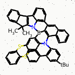 CC(C)(C)c1ccc(N2c3cc4c(cc3B3c5c(cc6ccccc6c52)-c2cccc5c6c(n3c25)C(C)(C)c2ccccc2-6)Sc2ccccc2S4)c(-c2ccccc2)c1